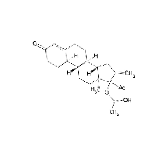 C=C1C[C@H]2[C@@H]3CCC4=CC(=O)CC[C@@H]4[C@H]3CC[C@]2(C)[C@@]1(OC(C)O)C(C)=O